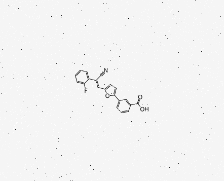 N#CC(=Cc1ccc(-c2cccc(C(=O)O)c2)o1)c1ccccc1F